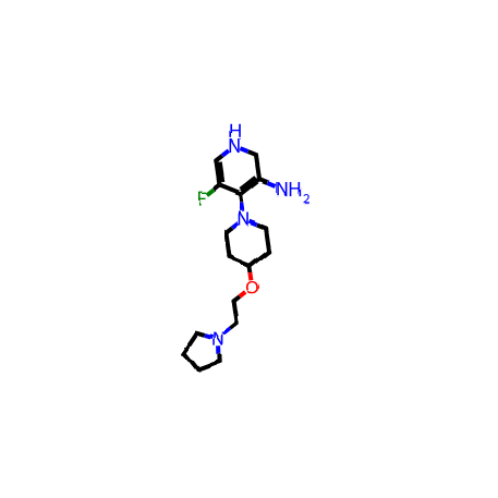 NC1=C(N2CCC(OCCN3CCCC3)CC2)C(F)=CNC1